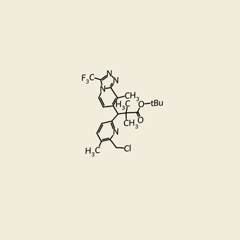 Cc1ccc(C(c2ccn3c(C(F)(F)F)nnc3c2C)C(C)(C)C(=O)OC(C)(C)C)nc1CCl